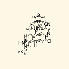 N#Cc1cnc2c(Cl)cc(NC(C3=CN(C4CC4)NN3)c3ccc(F)cc3)cc2c1NC1[C@H]2COC[C@@H]12